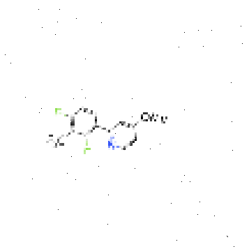 COc1ccnc(-c2ccc(F)c(C(F)(F)F)c2F)c1